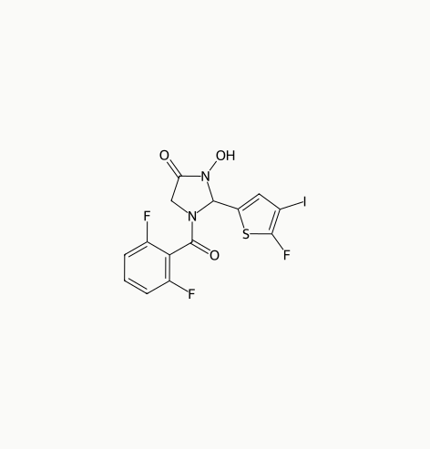 O=C1CN(C(=O)c2c(F)cccc2F)C(c2cc(I)c(F)s2)N1O